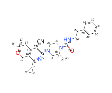 CC(C)[C@@H]1CN(c2nc(C3CC3)c3c(c2C#N)CC(C)(C)OC3)CCN1C(=O)NCCc1ccccc1